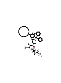 CC(C)[C@@H](C(=O)N(C)[C@H](C)CC(=O)OC(c1ccccc1)(c1ccc(C2CCCCCCCCCCCCCC2)cc1)c1ccccc1Cl)N(C)C(=O)C(C)(C)N(C)C(=O)C(F)(F)F